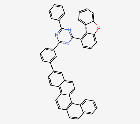 c1ccc(-c2nc(-c3cccc(-c4ccc5c(ccc6c5ccc5ccc7ccccc7c56)c4)c3)nc(-c3cccc4oc5ccccc5c34)n2)cc1